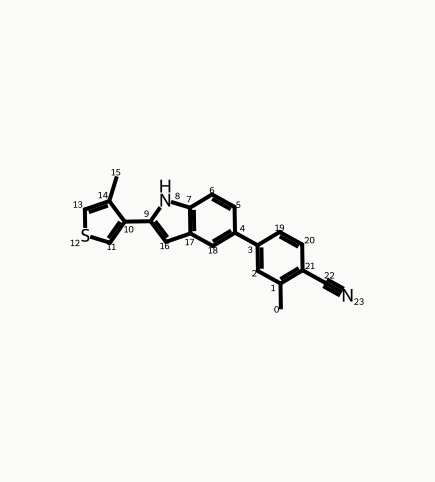 Cc1cc(-c2ccc3[nH]c(-c4cscc4C)cc3c2)ccc1C#N